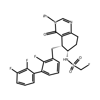 CC(C)n1cnc2c(c1=O)[C@@H](Cc1cccc(-c3cccc(F)c3F)c1F)[C@@H](NS(=O)(=O)CF)CC2